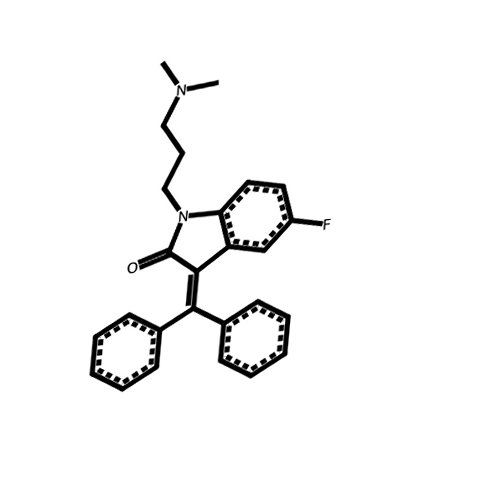 CN(C)CCCN1C(=O)C(=C(c2ccccc2)c2ccccc2)c2cc(F)ccc21